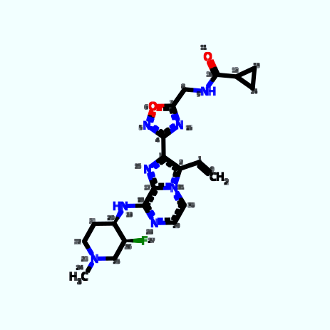 C=Cc1c(-c2noc(CNC(=O)C3CC3)n2)nc2c(N[C@@H]3CCN(C)C[C@@H]3F)nccn12